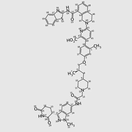 Cc1cc(OC[C@H](C)CC2CCN(CC(=O)Nc3ccc4c([C@H]5CCC(=O)NC5=O)nn(C)c4c3)CC2)ccc1-c1ccc(N2CCc3cccc(C(=O)Nc4nc5ccccc5s4)c3C2)nc1C(=O)O